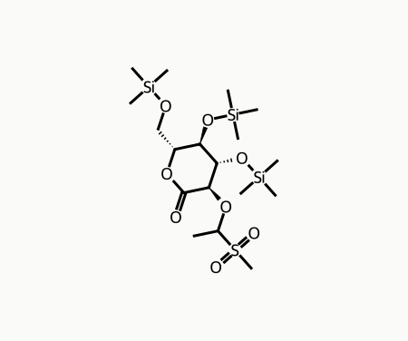 CC(O[C@H]1C(=O)O[C@H](CO[Si](C)(C)C)[C@@H](O[Si](C)(C)C)[C@@H]1O[Si](C)(C)C)S(C)(=O)=O